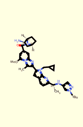 COc1cc(C(=O)N2[C@H]3CC[C@@H]2[C@H](N)C3)cc2nc(-c3cc4ccc([C@@H](C)Nc5cnn(C(C)(C)C)c5)nc4n3CC3CC3)c(C)n12